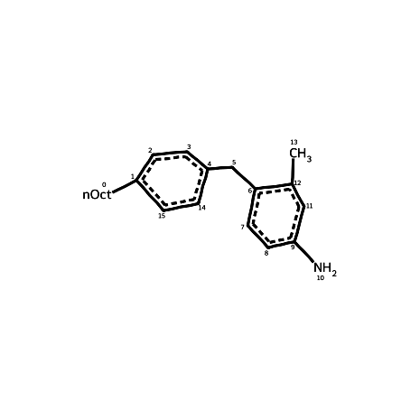 CCCCCCCCc1ccc(Cc2ccc(N)cc2C)cc1